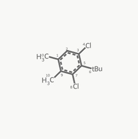 Cc1cc(Cl)c(C(C)(C)C)c(Cl)c1C